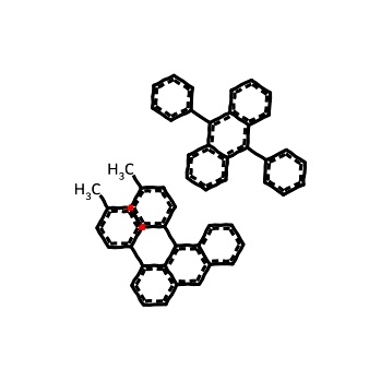 Cc1ccc(-c2cccc3cc4ccccc4c(-c4ccc(C)cc4)c23)cc1.c1ccc(-c2c3ccccc3c(-c3ccccc3)c3ccccc23)cc1